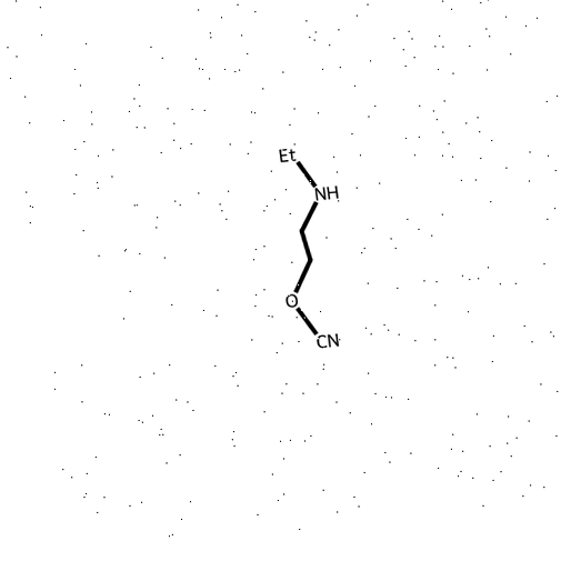 CCNCCOC#N